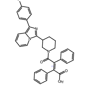 O=C(O)/C(=C(/C(=O)N1CCCC(c2nc(-c3ccc(F)cc3)c3ccccn23)C1)c1ccccc1)c1ccccc1